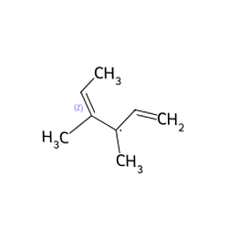 C=C[C](C)/C(C)=C\C